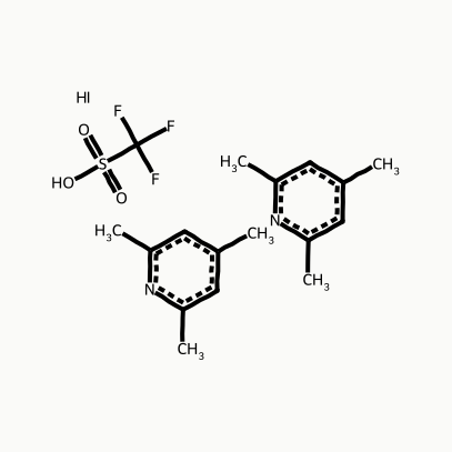 Cc1cc(C)nc(C)c1.Cc1cc(C)nc(C)c1.I.O=S(=O)(O)C(F)(F)F